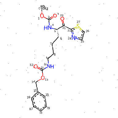 CC(C)(C)OC(=O)N[C@@H](CCCCNC(=O)OCc1ccccc1)C(=O)c1nccs1